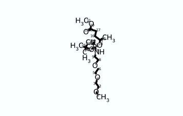 COCCOCCOCCNP(=O)(OC(C)CCC(=O)OC)OC(C)(C)C